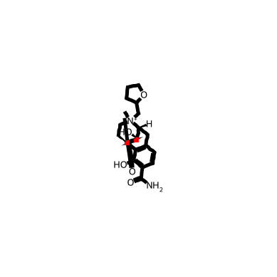 C[N+]1(CC2CCCO2)CC[C@]23CC(=O)CC[C@@]2(O)[C@H]1Cc1ccc(C(N)=O)c(O)c13